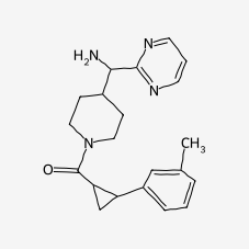 Cc1cccc(C2CC2C(=O)N2CCC(C(N)c3ncccn3)CC2)c1